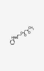 CC(=O)CC(=O)OCC=NNc1ccccc1